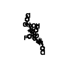 C[C@@H]1CN(Cc2ccc(Cl)cc2)CCN1C1CCN(C(C(=O)c2ccc(Cl)cc2)(c2ccc(F)cc2)N2CCN(C3CN(C(=O)c4ccc(Cl)cc4)CC3O)[C@H](C)C2)C1